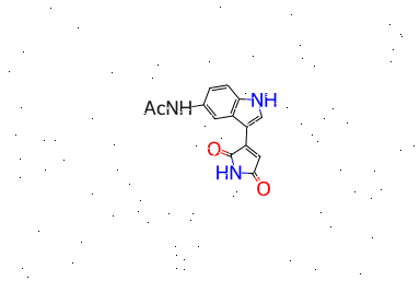 CC(=O)Nc1ccc2[nH]cc(C3=CC(=O)NC3=O)c2c1